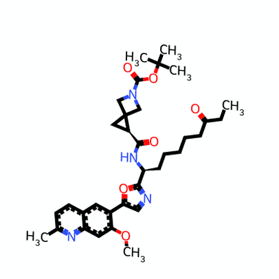 CCC(=O)CCCCC[C@H](NC(=O)[C@H]1CC12CN(C(=O)OC(C)(C)C)C2)c1ncc(-c2cc3ccc(C)nc3cc2OC)o1